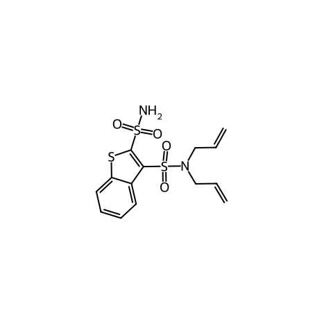 C=CCN(CC=C)S(=O)(=O)c1c(S(N)(=O)=O)sc2ccccc12